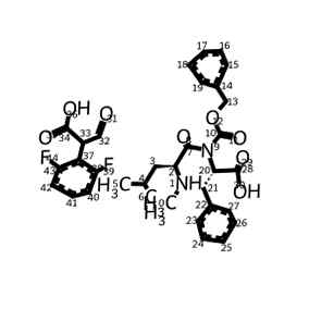 CN[C@@H](CC(C)C)C(=O)N(C(=O)OCc1ccccc1)[C@@H](Cc1ccccc1)C(=O)O.O=CC(C(=O)O)c1c(F)cccc1F